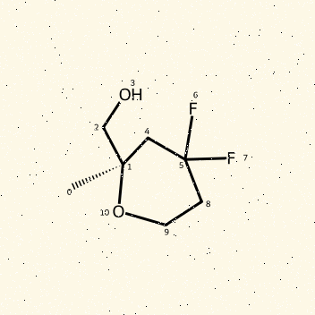 C[C@]1(CO)CC(F)(F)CCO1